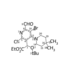 CCOC(=O)C(OC(C)(C)C)c1c(Cl)nc(C=O)c(Br)c1N1CCC(C)(C)CC1